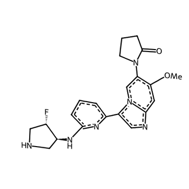 COc1cc2ncc(-c3cccc(N[C@H]4CNC[C@@H]4F)n3)n2cc1N1CCCC1=O